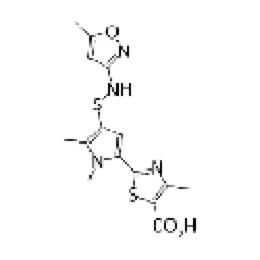 Cc1cc(NSc2cc(-c3nc(C)c(C(=O)O)s3)n(C)c2C)no1